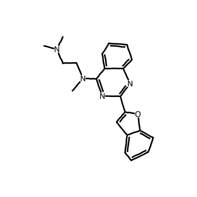 CN(C)CCN(C)c1nc(-c2cc3ccccc3o2)nc2ccccc12